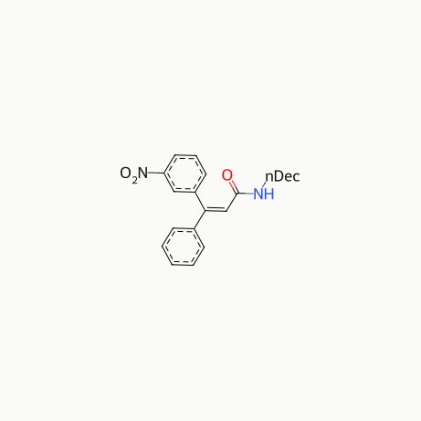 CCCCCCCCCCNC(=O)C=C(c1ccccc1)c1cccc([N+](=O)[O-])c1